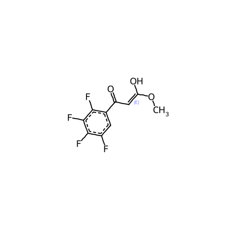 CO/C(O)=C/C(=O)c1cc(F)c(F)c(F)c1F